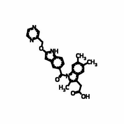 Cc1cc2c(CC(=O)O)c(C)n(C(=O)c3ccc4[nH]c(OCc5cnccn5)cc4c3)c2cc1C